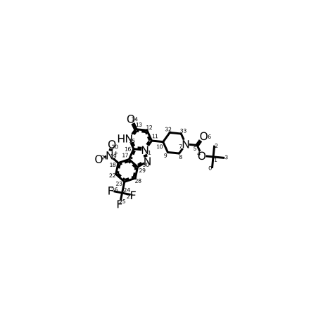 CC(C)(C)OC(=O)N1CCC(c2cc(=O)[nH]c3c4c([N+](=O)[O-])cc(C(F)(F)F)cc4nn23)CC1